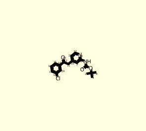 CC(C)(C)OC(=O)Nc1cc(CC(=O)c2cccc(Cl)c2)ccn1